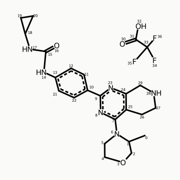 CC1COCCN1c1nc(-c2ccc(NC(=O)NC3CC3)cc2)nc2c1CCNC2.O=C(O)C(F)(F)F